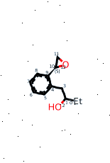 CCC(O)Cc1ccccc1[C@H]1CO1